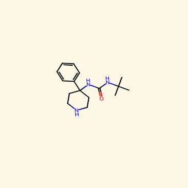 CC(C)(C)NC(=O)NC1(c2ccccc2)CCNCC1